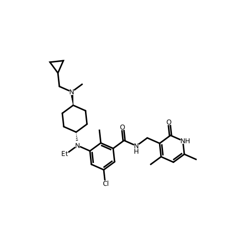 CCN(c1cc(Cl)cc(C(=O)NCc2c(C)cc(C)[nH]c2=O)c1C)[C@H]1CC[C@H](N(C)CC2CC2)CC1